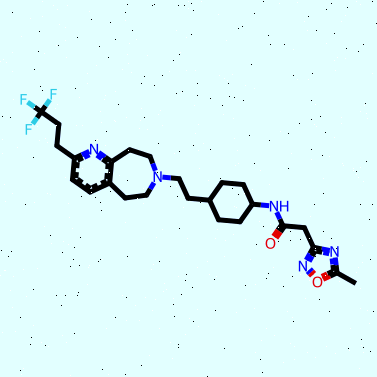 Cc1nc(CC(=O)NC2CCC(CCN3CCc4ccc(CCC(F)(F)F)nc4CC3)CC2)no1